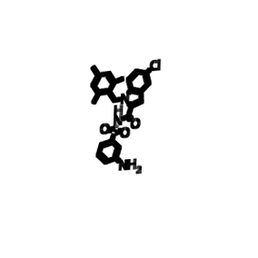 Cc1cc(C)c(Cn2c(C(=O)NS(=O)(=O)c3cccc(N)c3)cc3cc(Cl)ccc32)c(C)c1